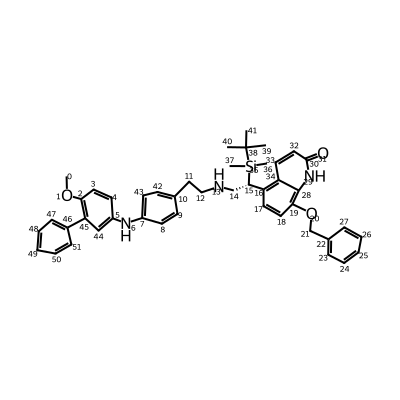 COc1ccc(Nc2ccc(CCNC[C@@H](c3ccc(OCc4ccccc4)c4[nH]c(=O)ccc34)[Si](C)(C)C(C)(C)C)cc2)cc1-c1ccccc1